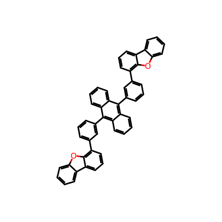 c1cc(-c2c3ccccc3c(-c3cccc(-c4cccc5c4oc4ccccc45)c3)c3ccccc23)cc(-c2cccc3c2oc2ccccc23)c1